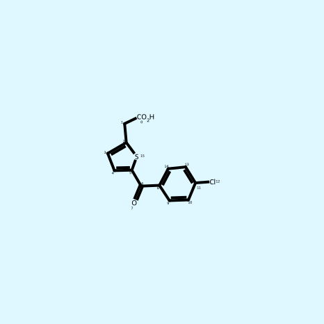 O=C(O)Cc1ccc(C(=O)c2ccc(Cl)cc2)s1